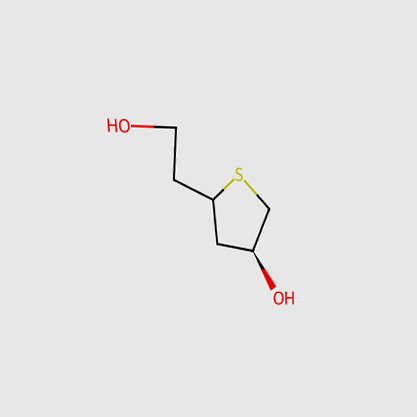 OCCC1C[C@H](O)CS1